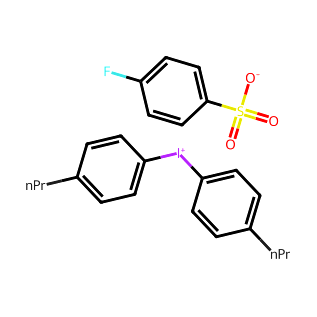 CCCc1ccc([I+]c2ccc(CCC)cc2)cc1.O=S(=O)([O-])c1ccc(F)cc1